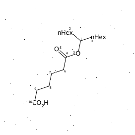 CCCCCCC(CCCCCC)OC(=O)CCCCC(=O)O